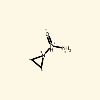 N[PH](=O)N1CC1